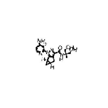 CC(CO)(CO)NC(=O)c1nn(-c2cc(N)ccn2)c2c1C[C@H]1C[C@@H]21